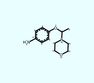 CC(Oc1ccc(N)cc1)N1CCOCC1